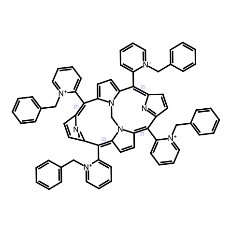 C1=C/C2=C(\c3cccc[n+]3Cc3ccccc3)c3ccc4n3Cn3/c(cc/c3=C(\c3cccc[n+]3Cc3ccccc3)C3=N/C(=C\4c4cccc[n+]4Cc4ccccc4)C=C3)=C(/c3cccc[n+]3Cc3ccccc3)C1=N2